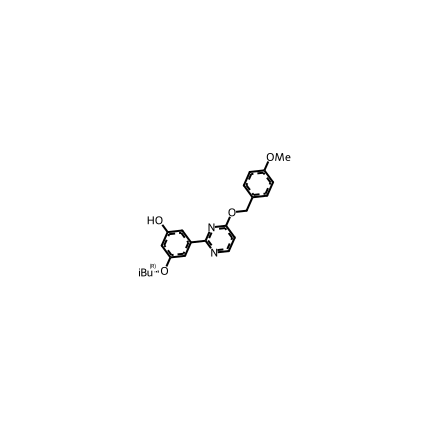 CC[C@@H](C)Oc1cc(O)cc(-c2nccc(OCc3ccc(OC)cc3)n2)c1